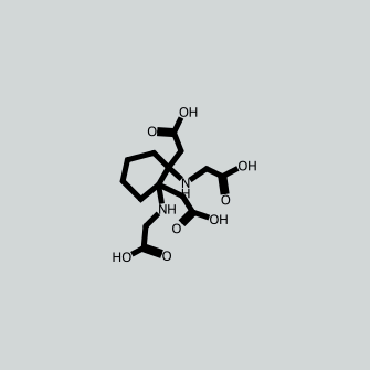 O=C(O)CNC1(CC(=O)O)CCCCC1(CC(=O)O)NCC(=O)O